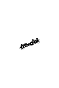 Cc1cnc(N2CCC(CO[C@H]3CC[C@H](c4ccc(S(C)(=O)=O)cc4F)CC3)CC2)cn1